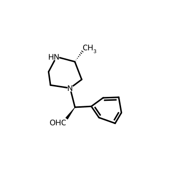 C[C@@H]1CN([C@H](C=O)c2ccccc2)CCN1